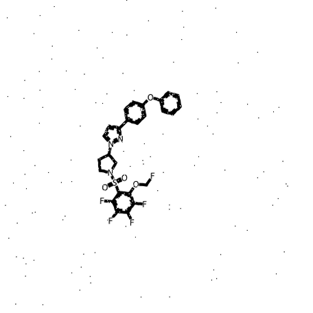 O=S(=O)(c1c(F)c(F)c(F)c(F)c1OCF)N1CCC(n2ccc(-c3ccc(Oc4ccccc4)cc3)n2)C1